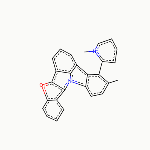 Cc1ccc2c(c1-c1cccc[n+]1C)c1cccc3c4oc5ccccc5c4n2c31